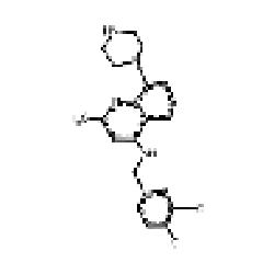 Cc1cc(NCc2ccc(Cl)c(Cl)c2)c2cccc(N3CCNCC3)c2n1